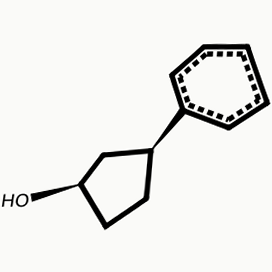 O[C@@H]1CC[C@H](c2ccccc2)C1